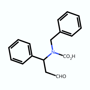 O=CCC(c1ccccc1)N(Cc1ccccc1)C(=O)O